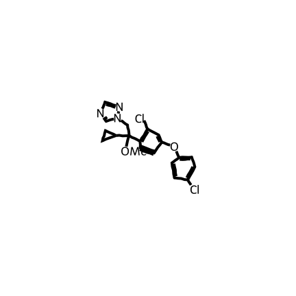 COC(Cn1cncn1)(c1c#cc(Oc2ccc(Cl)cc2)cc1Cl)C1CC1